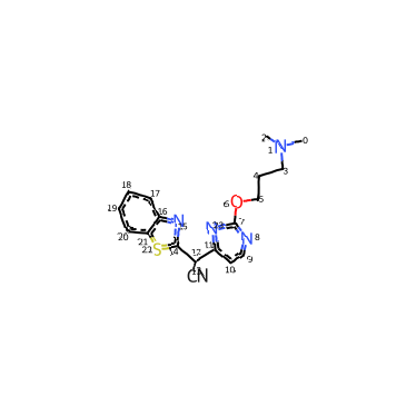 CN(C)CCCOc1nccc(C(C#N)c2nc3ccccc3s2)n1